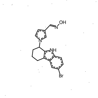 ON=Cc1ccn(C2CCCc3c2[nH]c2ccc(Br)cc32)c1